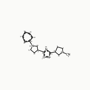 N#CN1CCC(c2noc(C3CCN(c4ccccc4)C3)n2)C1